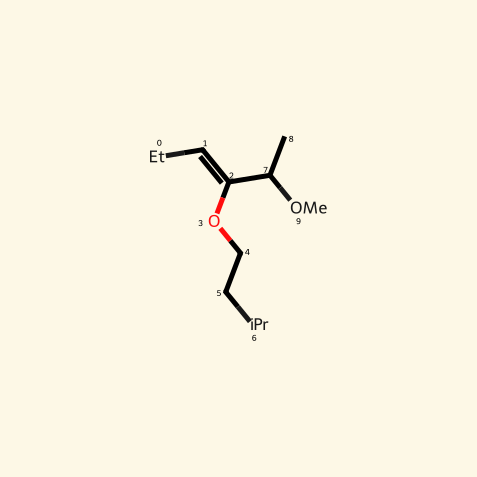 CC/C=C(\OCCC(C)C)C(C)OC